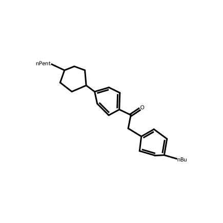 CCCCCC1CCC(c2ccc(C(=O)Cc3ccc(CCCC)cc3)cc2)CC1